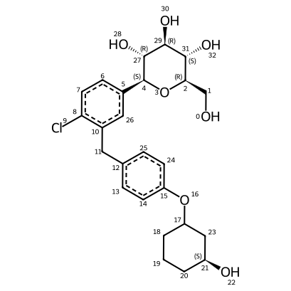 OC[C@H]1O[C@@H](c2ccc(Cl)c(Cc3ccc(OC4CCC[C@H](O)C4)cc3)c2)[C@H](O)[C@@H](O)[C@@H]1O